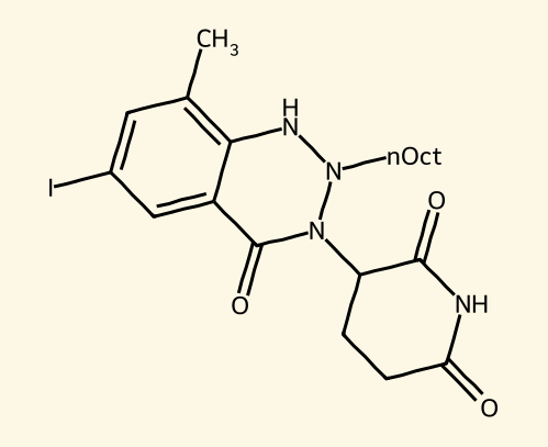 CCCCCCCCN1Nc2c(C)cc(I)cc2C(=O)N1C1CCC(=O)NC1=O